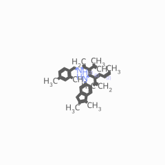 C=C(C)\C(C(=C)NCc1ccc(C)cc1C)=C(Nc1ccc2c(c1)CC(C)=C2C)/C(=C/C=C\C)C(=C)C